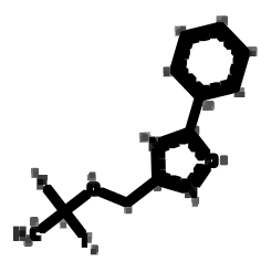 CC(F)(F)OCc1noc(-c2ccccc2)n1